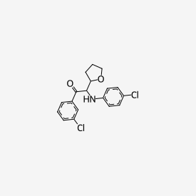 O=C(c1cccc(Cl)c1)C(Nc1ccc(Cl)cc1)C1CCCO1